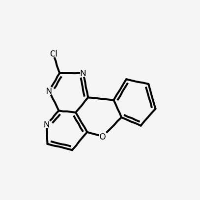 Clc1nc2c3c(ccnc3n1)Oc1ccccc1-2